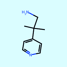 CC(C)(CN)c1ccncc1